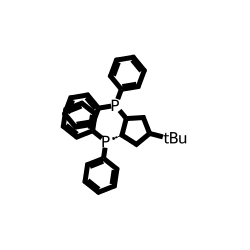 CC(C)(C)C1CC(P(c2ccccc2)c2ccccc2)[C@@H](P(c2ccccc2)c2ccccc2)C1